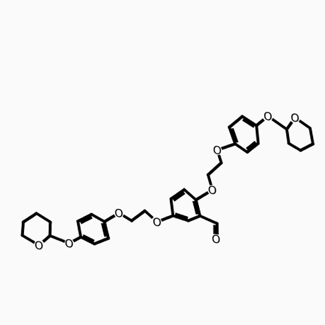 O=Cc1cc(OCCOc2ccc(OC3CCCCO3)cc2)ccc1OCCOc1ccc(OC2CCCCO2)cc1